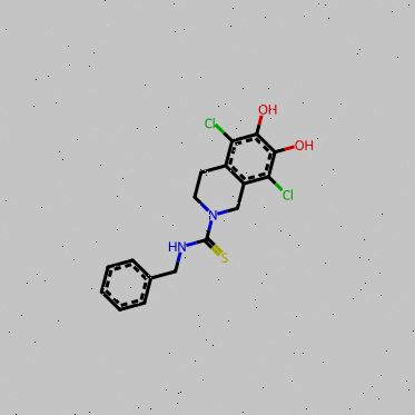 Oc1c(O)c(Cl)c2c(c1Cl)CCN(C(=S)NCc1ccccc1)C2